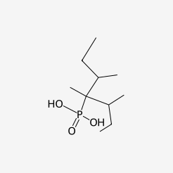 CCC(C)C(C)(C(C)CC)P(=O)(O)O